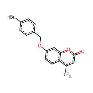 CC(C)(C)c1ccc(COc2ccc3c(C(F)(F)F)cc(=O)oc3c2)cc1